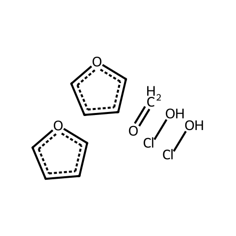 C=O.OCl.OCl.c1ccoc1.c1ccoc1